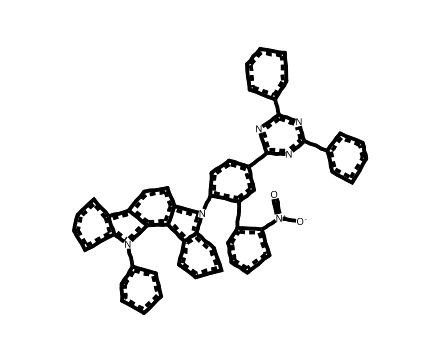 O=[N+]([O-])c1ccccc1-c1cc(-c2nc(-c3ccccc3)nc(-c3ccccc3)n2)ccc1-n1c2ccccc2c2c1ccc1c3ccccc3n(-c3ccccc3)c12